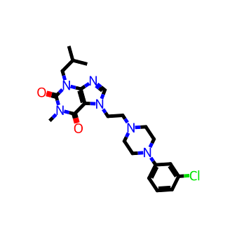 CC(C)Cn1c(=O)n(C)c(=O)c2c1ncn2CCN1CCN(c2cccc(Cl)c2)CC1